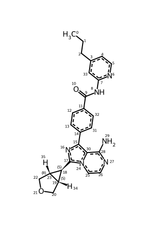 CCCc1ccnc(NC(=O)c2ccc(-c3nc([C@H]4[C@@H]5COC[C@@H]54)n4ccnc(N)c34)cc2)c1